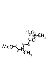 COCCN(C)CCCOB(C)C